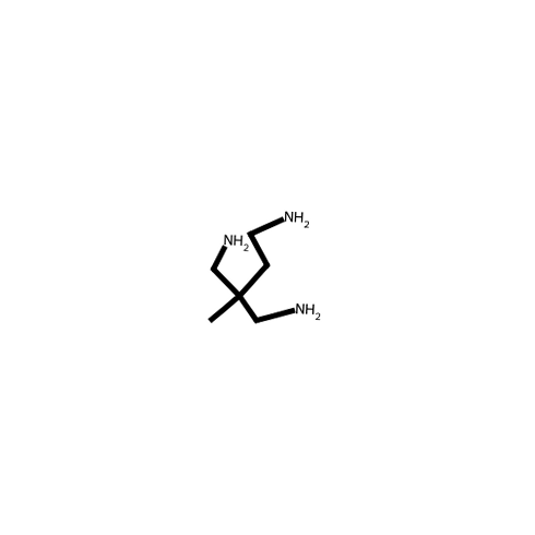 CC(CN)(CN)CCN